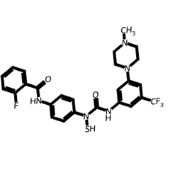 CN1CCN(c2cc(NC(=O)N(S)c3ccc(NC(=O)c4ccccc4F)cc3)cc(C(F)(F)F)c2)CC1